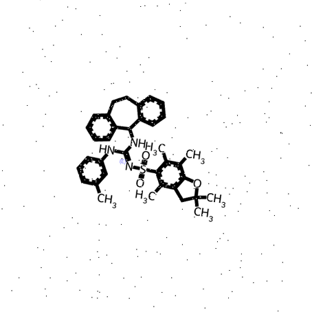 Cc1cccc(N/C(=N/S(=O)(=O)c2c(C)c(C)c3c(c2C)CC(C)(C)O3)NC2c3ccccc3CCc3ccccc32)c1